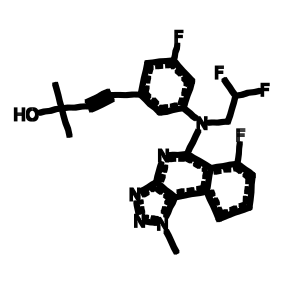 Cn1nnc2nc(N(CC(F)F)c3cc(F)cc(C#CC(C)(C)O)c3)c3c(F)cccc3c21